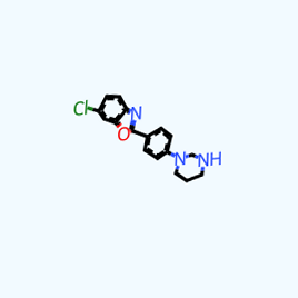 Clc1ccc2nc(-c3ccc(N4CCCNC4)cc3)oc2c1